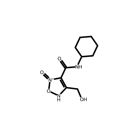 O=C(NC1CCCCC1)c1c(CO)[nH]o[n+]1=O